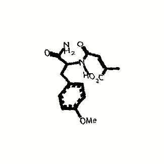 COc1ccc(CC(C(N)=O)N(C)C(=O)/C=C(/C)C(=O)O)cc1